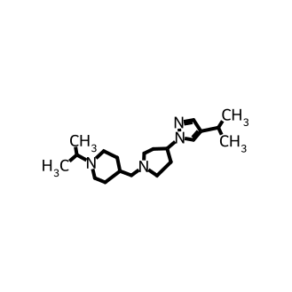 CC(C)c1cnn(C2CCN(CC3CCN(C(C)C)CC3)CC2)c1